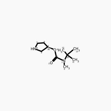 CN(C(=O)O[C@@H]1CCNC1)C(C)(C)C